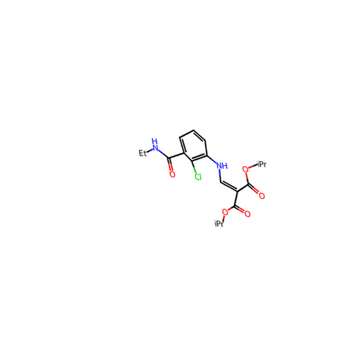 CCNC(=O)c1cccc(NC=C(C(=O)OC(C)C)C(=O)OC(C)C)c1Cl